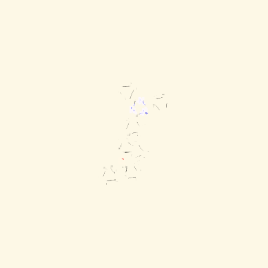 c1ccc(-c2nc(-c3ccccc3)nc(-c3ccc(-c4ccc5c6c(cccc46)-c4cccc(-c6ccccc6)c4O5)cc3)n2)cc1